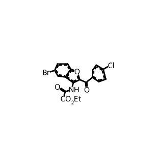 CCOC(=O)C(=O)Nc1c(C(=O)c2ccc(Cl)cc2)oc2ccc(Br)cc12